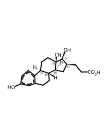 C[C@]12CC[C@@H]3c4ccc(O)cc4CC[C@H]3[C@@H]1C[C@H](CCC(=O)O)[C@@H]2O